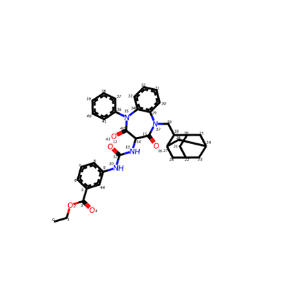 CCOC(=O)c1cccc(NC(=O)NC2C(=O)N(CC3C4CC5CC(C4)CC3C5)c3ccccc3N(c3ccccc3)C2=O)c1